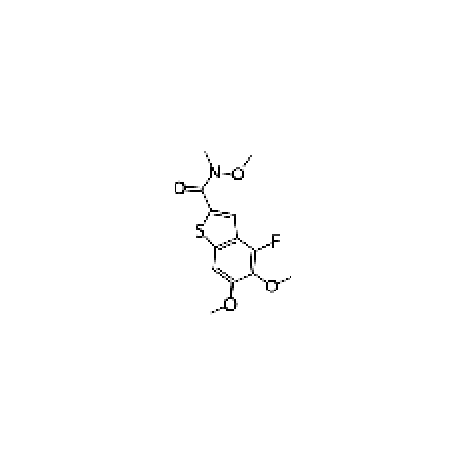 COc1cc2sc(C(=O)N(C)OC)cc2c(F)c1OC